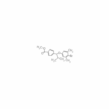 COC(=O)c1ccc(C(Oc2cc(C)c(Br)c(C)c2)C(C)C)cc1